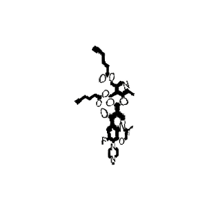 C#CCCCC(=O)OCc1cnc(C)c(OC(=O)c2cn3c4c(c(N5CCN(C)CC5)c(F)cc4c2=O)OC[C@@H]3C)c1COC(=O)CCCC#C